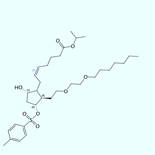 CCCCCCCOCCOCC[C@@H]1C(C/C=C\CCCC(=O)OC(C)C)[C@@H](O)C[C@H]1OS(=O)(=O)c1ccc(C)cc1